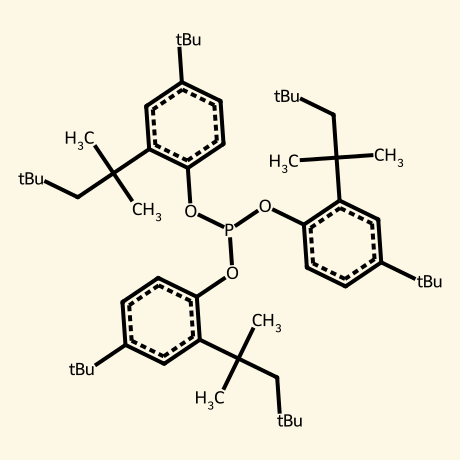 CC(C)(C)CC(C)(C)c1cc(C(C)(C)C)ccc1OP(Oc1ccc(C(C)(C)C)cc1C(C)(C)CC(C)(C)C)Oc1ccc(C(C)(C)C)cc1C(C)(C)CC(C)(C)C